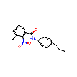 CCCc1ccc(NC(=O)c2cccc(C)c2[N+](=O)[O-])cc1